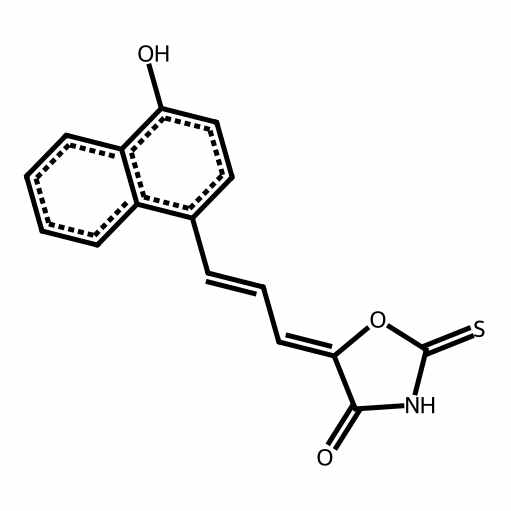 O=C1NC(=S)OC1=CC=Cc1ccc(O)c2ccccc12